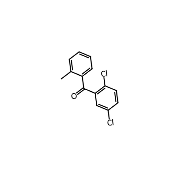 Cc1ccccc1C(=O)c1cc(Cl)ccc1Cl